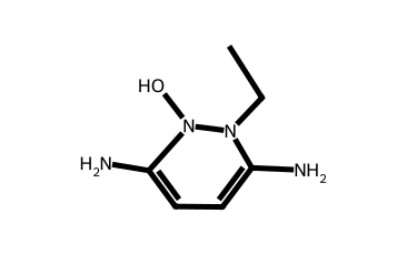 CCN1C(N)=CC=C(N)N1O